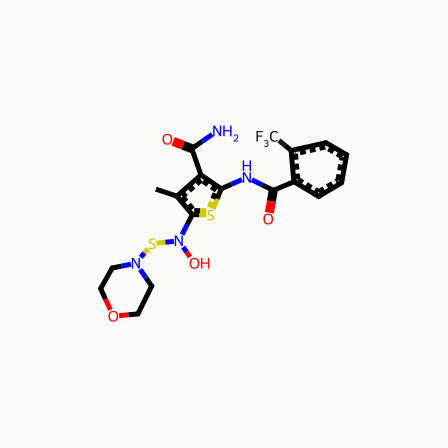 Cc1c(N(O)SN2CCOCC2)sc(NC(=O)c2ccccc2C(F)(F)F)c1C(N)=O